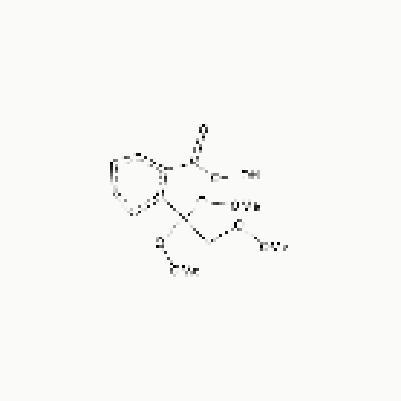 COOCC(OOC)(OOC)c1ccccc1C(=O)OO